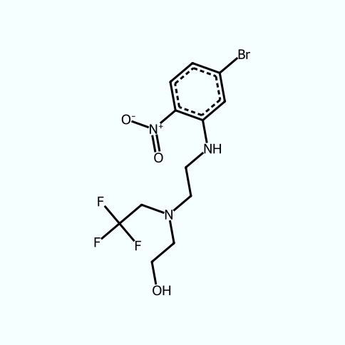 O=[N+]([O-])c1ccc(Br)cc1NCCN(CCO)CC(F)(F)F